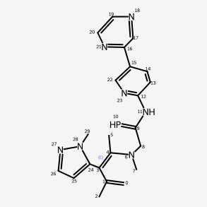 C=C(C)/C(=C(/C)N(C)CC(=P)Nc1ccc(-c2cnccn2)cn1)c1ccnn1C